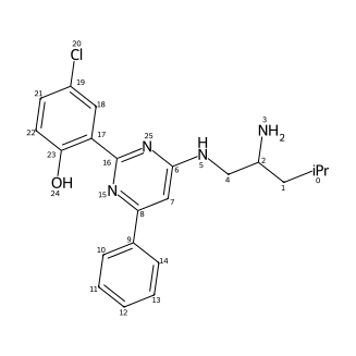 CC(C)CC(N)CNc1cc(-c2ccccc2)nc(-c2cc(Cl)ccc2O)n1